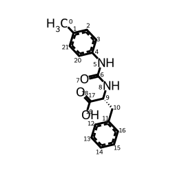 Cc1ccc(NC(=O)N[C@H](Cc2ccccc2)C(=O)O)cc1